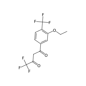 CCOc1cc(C(=O)CC(=O)C(F)(F)F)ccc1C(F)(F)F